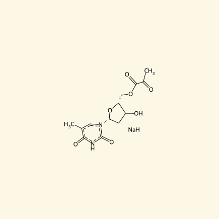 CC(=O)C(=O)OC[C@H]1O[C@@H](n2cc(C)c(=O)[nH]c2=O)CC1O.[NaH]